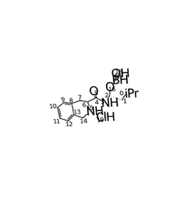 CC(C)C[C@H](NC(=O)C1Cc2ccccc2CN1)OBO.Cl